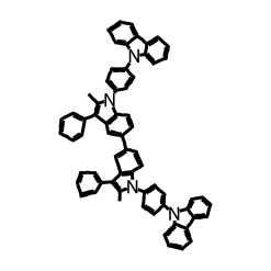 Cc1c(-c2ccccc2)c2cc(-c3ccc4c(c3)c(-c3ccccc3)c(C)n4-c3ccc(-n4c5ccccc5c5ccccc54)cc3)ccc2n1-c1ccc(-n2c3ccccc3c3ccccc32)cc1